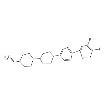 C=CC1CCC(C2CCC(c3ccc(-c4ccc(F)c(F)c4)cc3)CC2)CC1